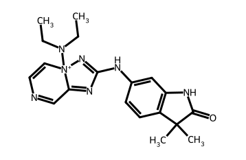 CCN(CC)[N+]12C=CN=CC1=NC(Nc1ccc3c(c1)NC(=O)C3(C)C)=N2